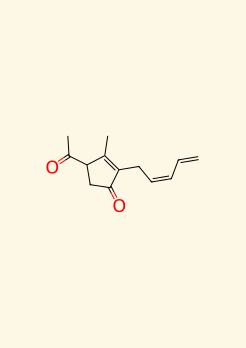 C=C/C=C\CC1=C(C)C(C(C)=O)CC1=O